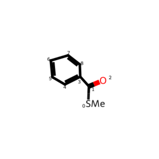 CSC(=O)c1ccccc1